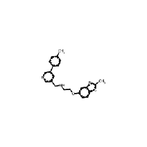 Cc1ccc(-c2cncc(CNCCOc3ccc4sc(C)nc4c3)c2)cc1